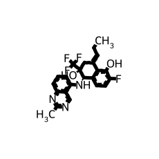 CC/C=C1\C[C@@](O)(C(F)(F)F)[C@@H](Nc2cccc3nc(C)ncc23)c2ccc(F)c(O)c21